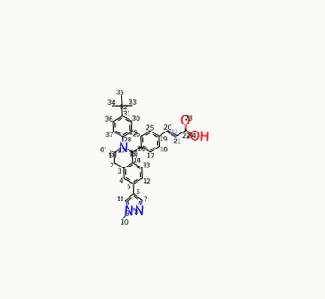 C[C@H]1Cc2cc(-c3cnn(C)c3)ccc2[C@H](c2ccc(/C=C/C(=O)O)cc2)N1c1ccc(C(C)(C)C)cc1